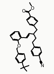 COC(=O)c1ccc(CC(/C=C/c2ccccc2OCc2ccc(C(C)(C)C)cc2)CCc2ccc(C#N)cc2)cc1